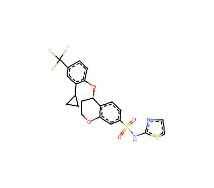 O=S(=O)(Nc1nccs1)c1ccc2c(c1)OCC[C@H]2Oc1ccc(C(F)(F)F)cc1C1CC1